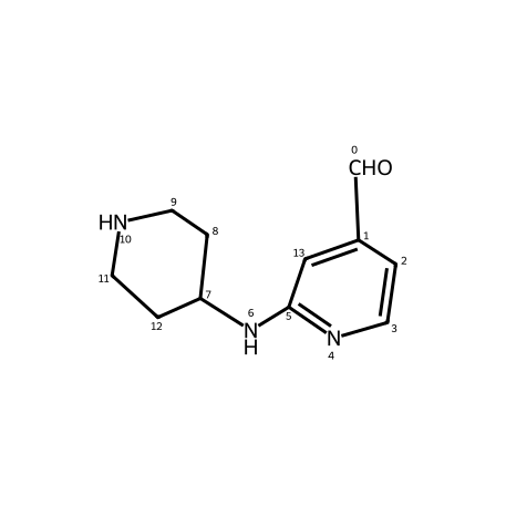 O=Cc1ccnc(NC2CCNCC2)c1